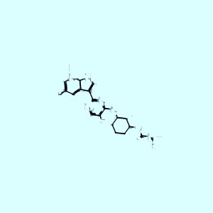 CCNC(=O)OC1CCCC(Nc2nc(C3=CNC4NC=C(Cl)C=C34)ncc2F)C1